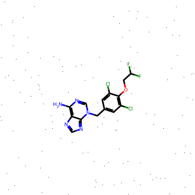 Nc1ncn(Cc2cc(Cl)c(OCC(F)F)c(Cl)c2)c2ncnc1-2